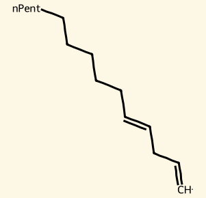 [CH]=CCC=CCCCCCCCCCC